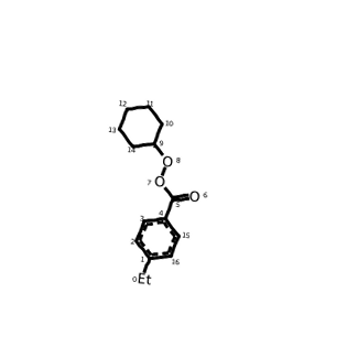 CCc1ccc(C(=O)OO[C]2CCCCC2)cc1